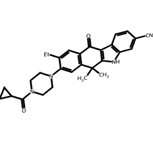 CCc1cc2c(cc1N1CCN(C(=O)C3CC3)CC1)C(C)(C)c1[nH]c3cc(C#N)ccc3c1C2=O